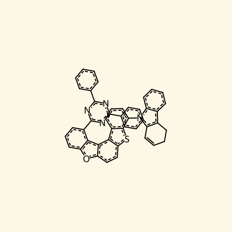 C1=Cc2c(c3ccccc3n2-c2cccc3c2sc2ccc4oc5cccc(-c6nc(-c7ccccc7)nc(-c7ccccc7)n6)c5c4c23)CC1